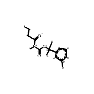 CCCC(=O)N(C)C(=O)OC(C)(C)c1cccc(C)c1